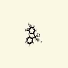 CCC(N)(c1ccncc1)c1ccc(F)c(F)c1